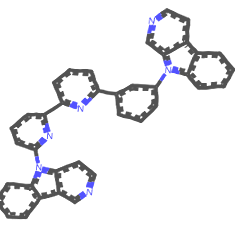 c1cc(-c2cccc(-c3cccc(-n4c5ccccc5c5cnccc54)n3)n2)cc(-n2c3ccccc3c3ccncc32)c1